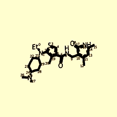 CCN(c1scc(C(=O)NCc2c(C)cc(C)[nH]c2=O)c1C)[C@H]1CC[C@H](N(C)C)CC1